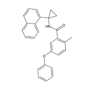 Cc1ccc(Oc2ccccc2)cc1C(=O)NC1(c2cccc3ccccc23)CC1